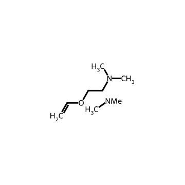 C=COCCN(C)C.CNC